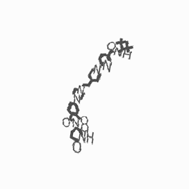 CC1(C)CC(C)(C)C1NC(=O)c1ccc(N2CCC(CCN3CCN(c4ccc5c(c4)C(=O)N(C4CCC(=O)NC4=O)C5=O)CC3)CC2)nc1